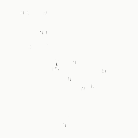 CC(CNC(=O)[C@@H]1CC[C@@H](Nc2ncc3c(Br)nn(-c4ccc5ncccc5c4)c3n2)C1)N1CCCC1